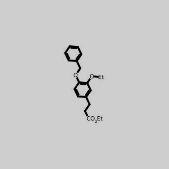 CCOC(=O)CCc1ccc(OCc2ccccc2)c(OCC)c1